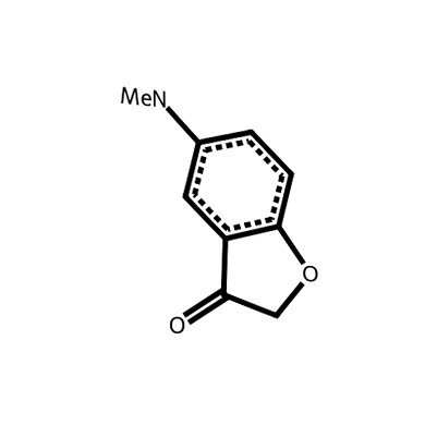 CNc1ccc2c(c1)C(=O)CO2